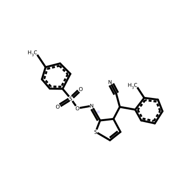 Cc1ccc(S(=O)(=O)O/N=C2\SC=CC2C(C#N)c2ccccc2C)cc1